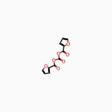 O=C(OC(=O)c1ccco1)OC(=O)c1ccco1